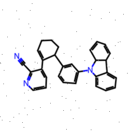 N#Cc1ncccc1C1=CCCCC1c1cccc(N2c3ccccc3C3C=CC=CC32)c1